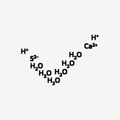 O.O.O.O.O.O.[Ca+2].[H+].[H+].[S-2]